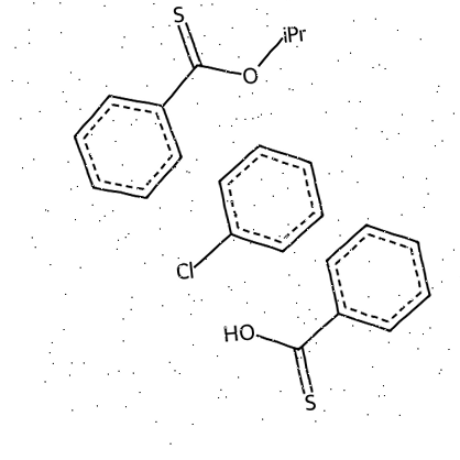 CC(C)OC(=S)c1ccccc1.Clc1ccccc1.OC(=S)c1ccccc1